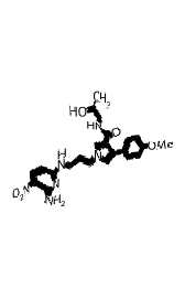 COc1ccc(-c2cn(CCCNc3ccc([N+](=O)[O-])c(N)n3)cc2C(=O)NC[C@@H](C)O)cc1